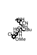 COc1ccc(Cl)c2[nH]c(C(=O)NC(CC(C)(C)C)C(=O)N[C@H](C#N)CC3CC(C)(C)NC3=O)cc12